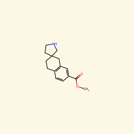 COC(=O)c1ccc2c(c1)CC1(CCNC1)CC2